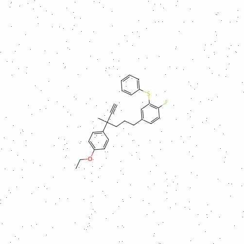 C#CC(C)(CCCc1ccc(F)c(Sc2ccccc2)c1)c1ccc(OCC)cc1